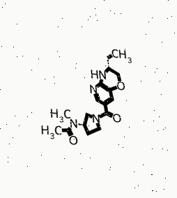 CC[C@@H]1COc2cc(C(=O)N3CC[C@H](N(C)C(C)=O)C3)cnc2N1